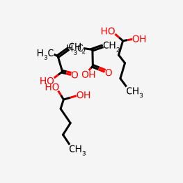 C=C(C)C(=O)O.C=C(C)C(=O)O.CCCCC(O)O.CCCCC(O)O